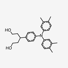 Cc1ccc(N(c2ccc(C(CCO)CCO)cc2)c2ccc(C)c(C)c2)cc1C